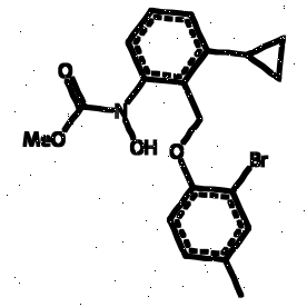 COC(=O)N(O)c1cccc(C2CC2)c1COc1ccc(C)cc1Br